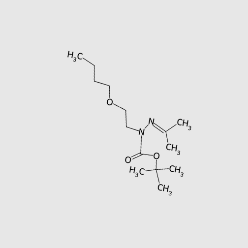 CCCCOCCN(N=C(C)C)C(=O)OC(C)(C)C